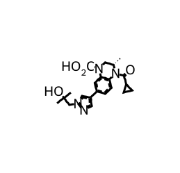 C[C@H]1CN(C(=O)O)c2cc(-c3cnn(CC(C)(C)O)c3)ccc2N1C(=O)C1CC1